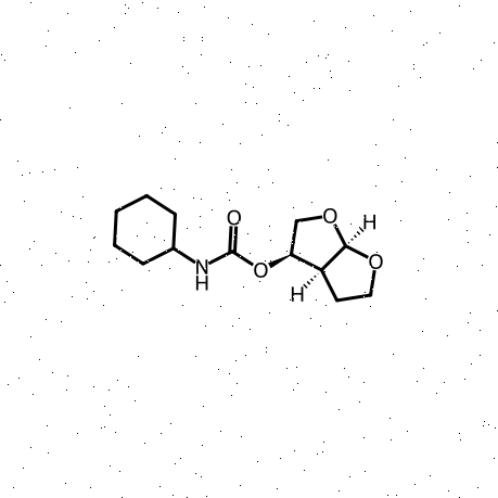 O=C(NC1CCCCC1)O[C@H]1CO[C@H]2OCC[C@H]21